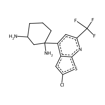 NC1CCCC(N)(c2cc(C(F)(F)F)nc3sc(Cl)cc23)C1